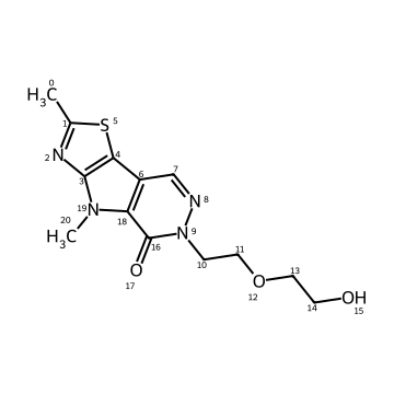 Cc1nc2c(s1)c1cnn(CCOCCO)c(=O)c1n2C